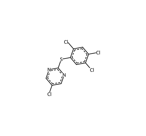 Clc1cnc(Sc2cc(Cl)c(Cl)cc2Cl)nc1